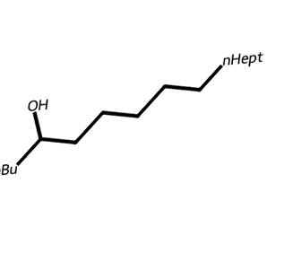 CCCCCCCCCCCCC(O)CCCC